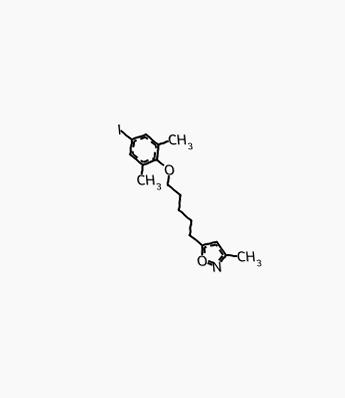 Cc1cc(CCCCCOc2c(C)cc(I)cc2C)on1